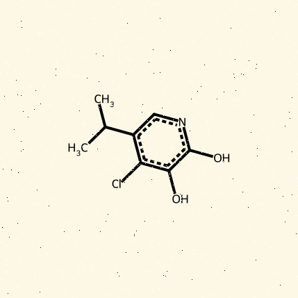 CC(C)c1cnc(O)c(O)c1Cl